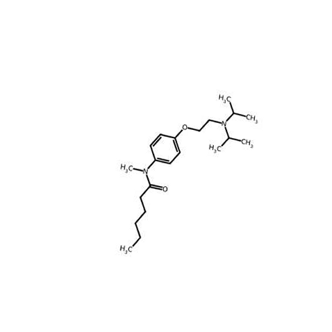 CCCCCC(=O)N(C)c1ccc(OCCN(C(C)C)C(C)C)cc1